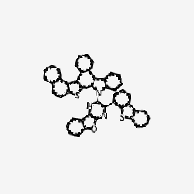 c1ccc2c(c1)ccc1sc3c(c4ccccc4c4c5ccccc5n(-c5nc6c(nc5-c5cccc7c5sc5ccccc57)oc5ccccc56)c34)c12